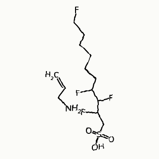 C=CCN.O=S(=O)(O)CC(F)C(F)C(F)CCCCCCF